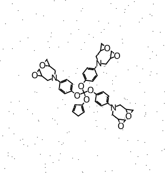 C1=CC(OC(Oc2ccc(N(CC3CO3)CC3CO3)cc2)(Oc2ccc(N(CC3CO3)CC3CO3)cc2)Oc2ccc(N(CC3CO3)CC3CO3)cc2)=CC1